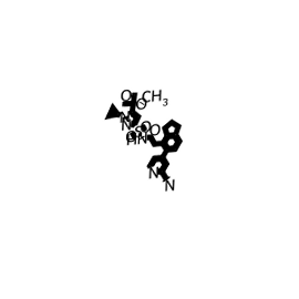 COC1(c2cc(S(=O)(=O)NC(=O)Cc3c(-c4ccnc(C#N)c4)ccc4c3CCC4)nn2C2CC2)COC1